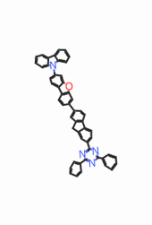 c1ccc(-c2nc(-c3ccccc3)nc(-c3ccc4c(c3)Cc3cc(-c5ccc6c(c5)oc5cc(-n7c8ccccc8c8ccccc87)ccc56)ccc3-4)n2)cc1